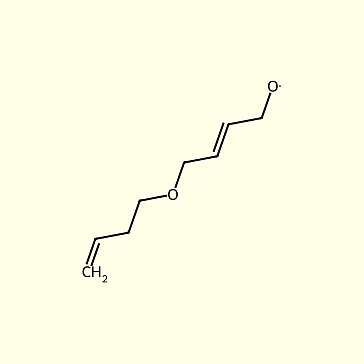 C=CCCOCC=CC[O]